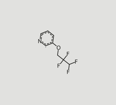 FC(F)C(F)(F)COc1[c]nccc1